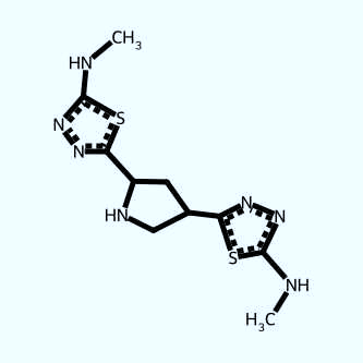 CNc1nnc(C2CNC(c3nnc(NC)s3)C2)s1